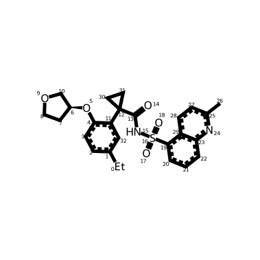 CCc1ccc(O[C@H]2CCOC2)c(C2(C(=O)NS(=O)(=O)c3cccc4nc(C)ccc34)CC2)c1